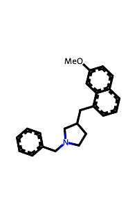 COc1ccc2cccc(CC3CCN(Cc4ccccc4)C3)c2c1